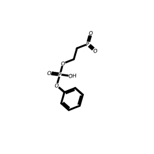 O=P(=O)CCOP(=O)(O)Oc1ccccc1